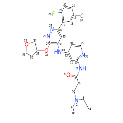 CCN(CC)CCC(=O)Nc1cc(Nc2cc(-c3cc(Cl)ccc3F)nnc2OC2CCOC2)ccn1